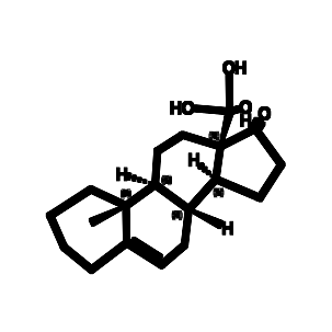 C[C@]12CCCCC1=CC[C@@H]1[C@@H]2CC[C@]2(C(O)(O)O)C(=O)CC[C@@H]12